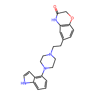 O=C1COc2ccc(CCN3CCN(c4cccc5[nH]ccc45)CC3)cc2N1